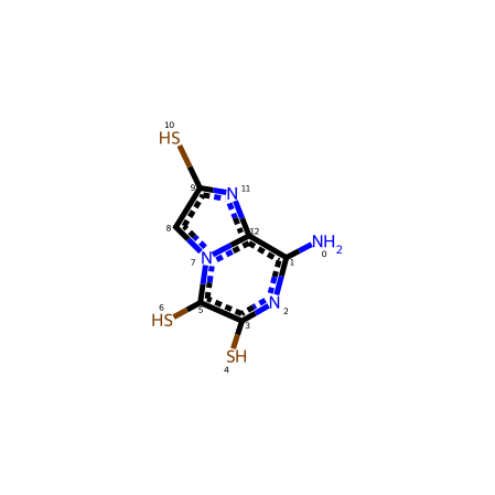 Nc1nc(S)c(S)n2cc(S)nc12